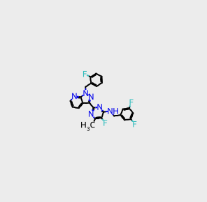 Cc1nc(-c2nn(Cc3ccccc3F)c3ncccc23)nc(NCc2cc(F)cc(F)c2)c1F